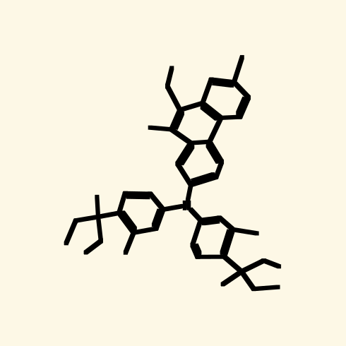 CCc1c(C)c2cc(N(c3ccc(C(C)(CC)CC)c(C)c3)c3ccc(C(C)(CC)CC)c(C)c3)ccc2c2ccc(C)cc12